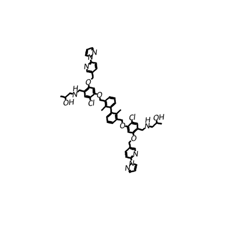 Cc1c(COc2cc(OCc3ccc(-n4cccn4)nc3)c(CNCC(C)O)cc2Cl)cccc1-c1cccc(COc2cc(OCc3ccc(-n4cccn4)nc3)c(CNCC(C)O)cc2Cl)c1C